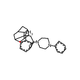 CC1C2CC3CC1CC(C2)C3(CC(=O)N1CCN(c2ccccc2)CC1)c1ccccc1